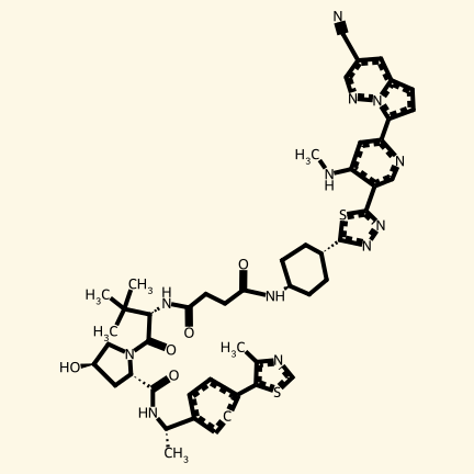 CNc1cc(-c2ccc3cc(C#N)cnn23)ncc1-c1nnc([C@H]2CC[C@@H](NC(=O)CCC(=O)N[C@H](C(=O)N3C[C@H](O)C[C@H]3C(=O)N[C@@H](C)c3ccc(-c4scnc4C)cc3)C(C)(C)C)CC2)s1